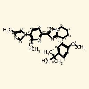 COc1ccc(C(C)(C)C)cc1[C@H]1CCCn2nc(-c3ccc(-n4cnc(C)c4)c(OC)n3)nc21